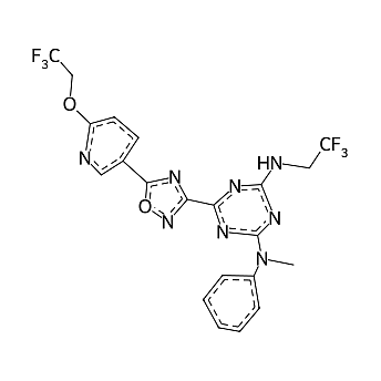 CN(c1ccccc1)c1nc(NCC(F)(F)F)nc(-c2noc(-c3ccc(OCC(F)(F)F)nc3)n2)n1